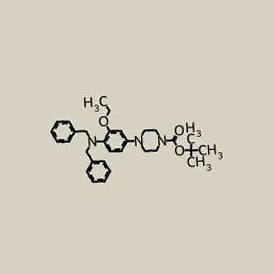 CCOc1cc(N2CCN(C(=O)OC(C)(C)C)CC2)ccc1N(Cc1ccccc1)Cc1ccccc1